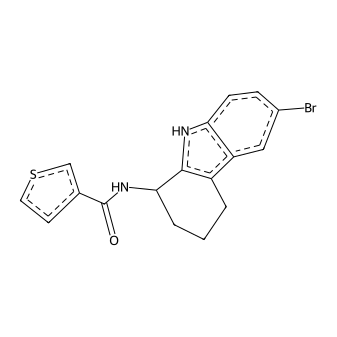 O=C(NC1CCCc2c1[nH]c1ccc(Br)cc21)c1ccsc1